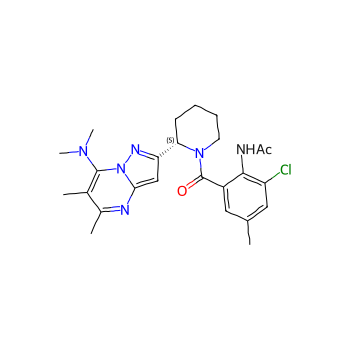 CC(=O)Nc1c(Cl)cc(C)cc1C(=O)N1CCCC[C@H]1c1cc2nc(C)c(C)c(N(C)C)n2n1